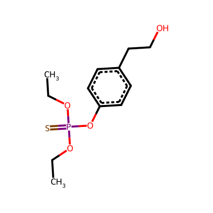 CCOP(=S)(OCC)Oc1ccc(CCO)cc1